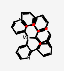 c1ccc(-c2nccc[c]2[Mo]([c]2cccnc2-c2ccccc2)[c]2cccnc2-c2ccccc2)cc1